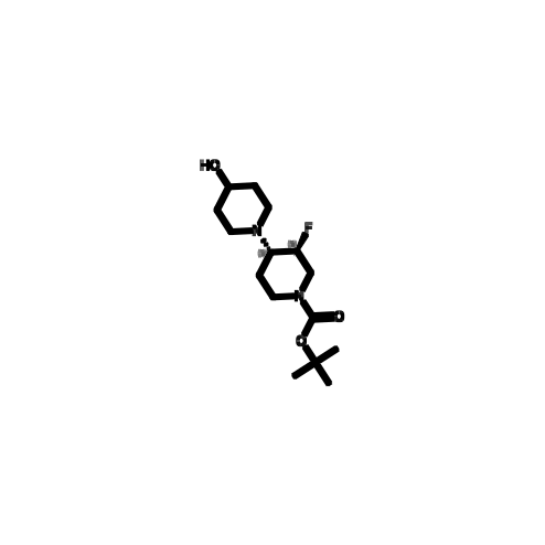 CC(C)(C)OC(=O)N1CC[C@H](N2CCC(O)CC2)[C@@H](F)C1